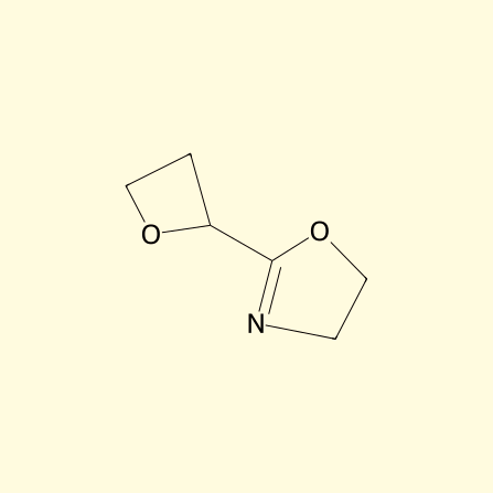 C1COC(C2CCO2)=N1